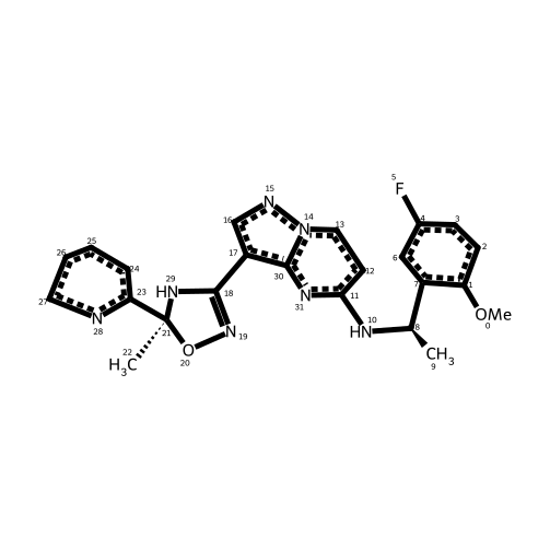 COc1ccc(F)cc1[C@@H](C)Nc1ccn2ncc(C3=NO[C@@](C)(c4ccccn4)N3)c2n1